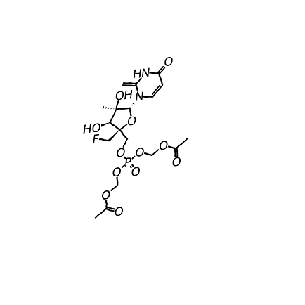 C=C1NC(=O)C=CN1[C@@H]1O[C@](CF)(COP(=O)(OCOC(C)=O)OCOC(C)=O)[C@@H](O)[C@@]1(C)O